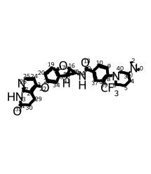 CN(C)[C@H]1CCCN(c2ccc(C(=O)N[C@@H]3C4Oc5ccc(Oc6ccnc7c6CCC(=O)N7)cc5[C@H]43)cc2C(F)(F)F)C1